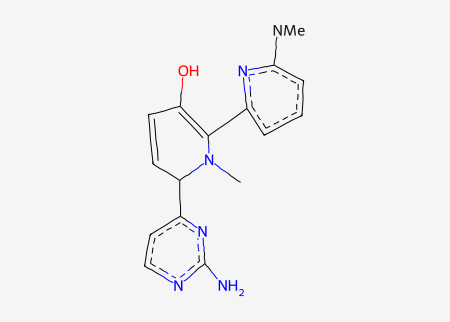 CNc1cccc(C2=C(O)C=CC(c3ccnc(N)n3)N2C)n1